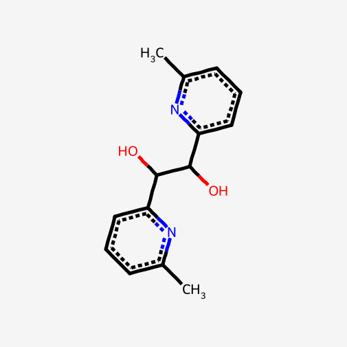 Cc1cccc(C(O)C(O)c2cccc(C)n2)n1